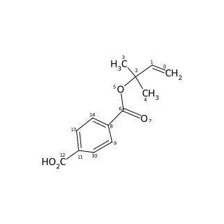 C=CC(C)(C)OC(=O)c1ccc(C(=O)O)cc1